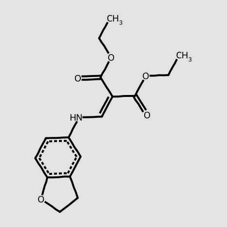 CCOC(=O)C(=CNc1ccc2c(c1)CCO2)C(=O)OCC